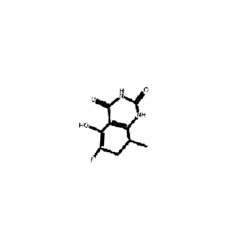 CC1CC(F)=C(O)c2c1[nH]c(=O)[nH]c2=O